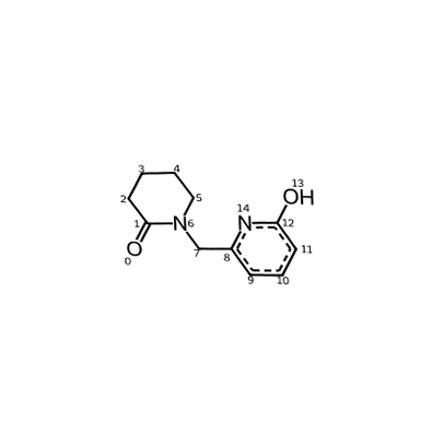 O=C1CCCCN1Cc1cccc(O)n1